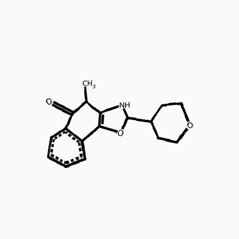 CC1C(=O)c2ccccc2C2=C1NC(C1CCOCC1)O2